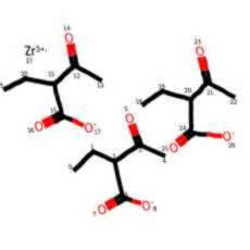 CCC(C(C)=O)C(=O)[O-].CCC(C(C)=O)C(=O)[O-].CCC(C(C)=O)C(=O)[O-].[Zr+3]